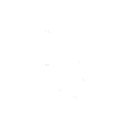 CSc1cc(N)ccc1Oc1ccnc2[nH]c(=O)cnc12.Cl